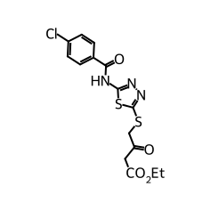 CCOC(=O)CC(=O)CSc1nnc(NC(=O)c2ccc(Cl)cc2)s1